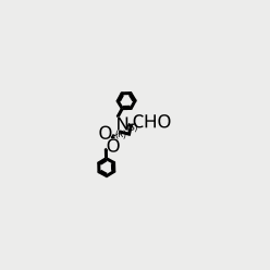 O=C[C@@H]1C[C@H](C(=O)OCc2ccccc2)N1Cc1ccccc1